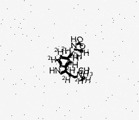 [2H]c1c(C([2H])([2H])[C@@H]2NC(=O)OC2([2H])[2H])c([2H])c2c(C([2H])([2H])CN(C)C([2H])([2H])[2H])c[nH]c2c1[2H]